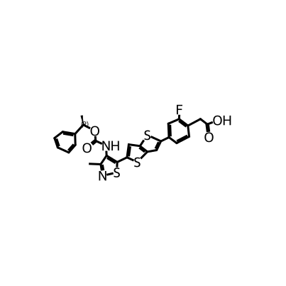 Cc1nsc(-c2cc3sc(-c4ccc(CC(=O)O)c(F)c4)cc3s2)c1NC(=O)O[C@H](C)c1ccccc1